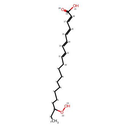 CCC(CCCCCCCCC=CC=CC=CC=CC(=O)O)OO